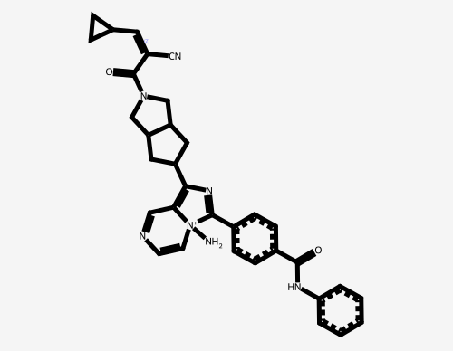 N#C/C(=C/C1CC1)C(=O)N1CC2CC(C3=C4C=NC=C[N+]4(N)C(c4ccc(C(=O)Nc5ccccc5)cc4)=N3)CC2C1